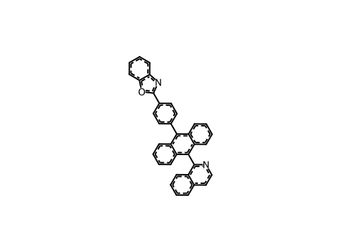 c1ccc2c(-c3c4ccccc4c(-c4ccc(-c5nc6ccccc6o5)cc4)c4ccccc34)nccc2c1